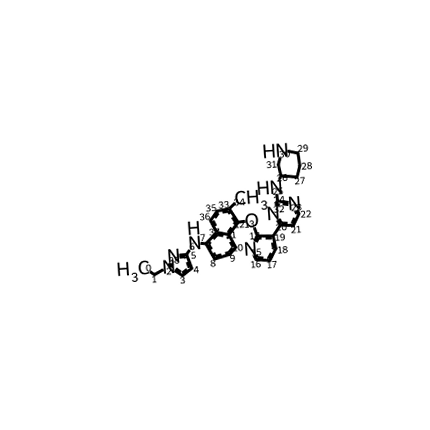 CCn1ccc(Nc2cccc3c(Oc4ncccc4-c4ccnc(NC5CCCNC5)n4)c(C)ccc23)n1